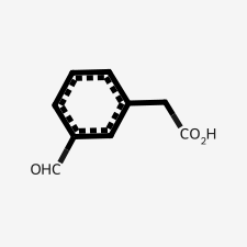 O=Cc1cccc(CC(=O)O)c1